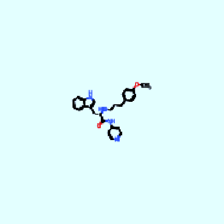 COc1ccc(CCCN[C@@H](Cc2c[nH]c3ccccc23)C(=O)Nc2ccncc2)cc1